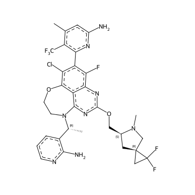 Cc1cc(N)nc(-c2c(Cl)c3c4c(nc(OC[C@@H]5C[C@]6(CN5C)CC6(F)F)nc4c2F)N([C@H](C)c2cccnc2N)CCO3)c1C(F)(F)F